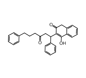 O=C(CCCc1ccccc1)CC(C1=C(O)c2ccccc2CC1=O)c1ccccc1